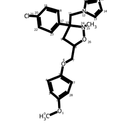 COc1ccc(OCC2CC(Cn3ccnc3)(c3ccc(Cl)cc3)N(C)O2)cc1